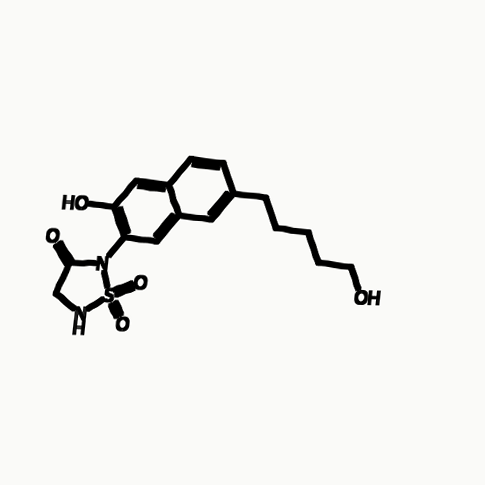 O=C1CNS(=O)(=O)N1c1cc2cc(CCCCCO)ccc2cc1O